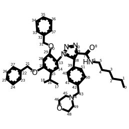 CCCCCCNC(=O)c1nnn(-c2cc(C(C)C)c(OCc3ccccc3)cc2OCc2ccccc2)c1-c1ccc(CN2CCOCC2)cc1